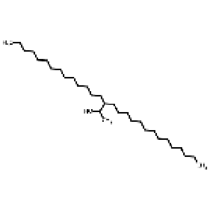 CCCCCCCCCCCCCCC(CCCCCCCCCCCCCC)C(C)O